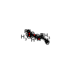 COc1cc2c(Oc3ccc(NC(=O)c4nn(-c5cccc(F)c5)c(=O)n(C)c4=O)cc3F)ccnc2cc1OCCCCN1CCOCC1